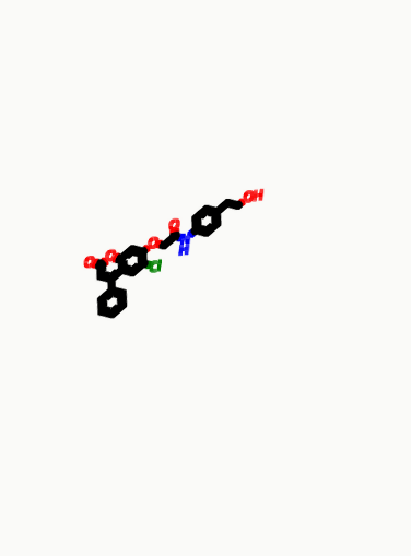 O=C(COc1cc2oc(=O)cc(-c3ccccc3)c2cc1Cl)Nc1ccc(CCO)cc1